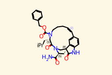 CC(C)C[C@H]1C(=O)N2C[C@]3(C[C@H]2C(N)=O)C(=O)Nc2ccc(cc23)/C=C\CCCN1C(=O)OCc1ccccc1